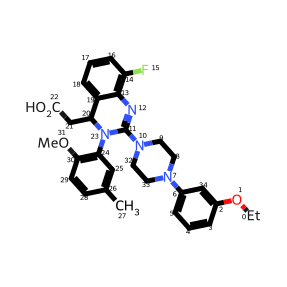 CCOc1cccc(N2CCN(C3=Nc4c(F)cccc4C(CC(=O)O)N3c3cc(C)ccc3OC)CC2)c1